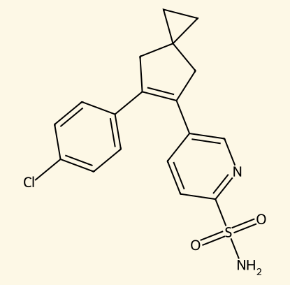 NS(=O)(=O)c1ccc(C2=C(c3ccc(Cl)cc3)CC3(CC3)C2)cn1